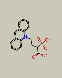 O=C([O-])C(CC[n+]1c2ccccc2cc2ccccc21)S(=O)(=O)O